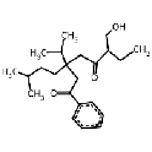 CCC(CO)C(=O)CC(CCC(C)C)(CC(=O)c1ccccc1)C(C)C